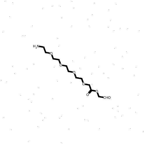 NCCOCCOCCOCCOCC(=O)OCC=O